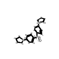 O=[PH](c1ccc(N2CCCC2)cc1)c1ccc(N2CCCC2)cc1